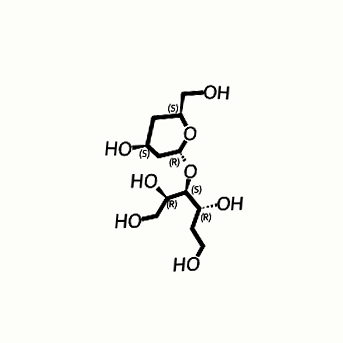 OCC[C@@H](O)[C@H](O[C@@H]1C[C@@H](O)C[C@@H](CO)O1)[C@H](O)CO